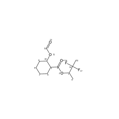 CC(OC(=O)C1CCCCC1OC=O)C(C)(F)F